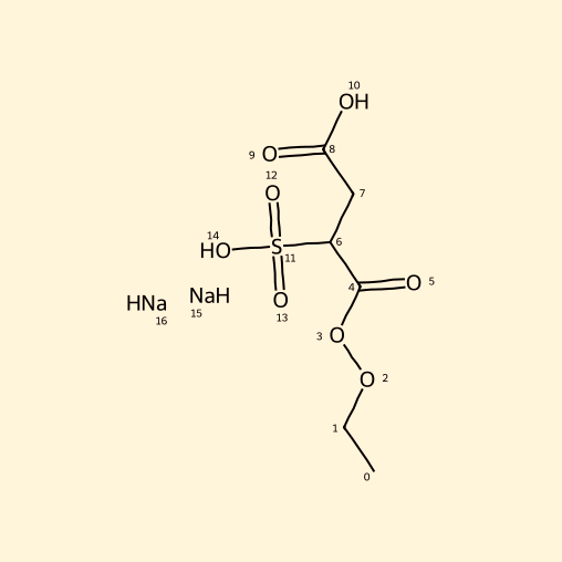 CCOOC(=O)C(CC(=O)O)S(=O)(=O)O.[NaH].[NaH]